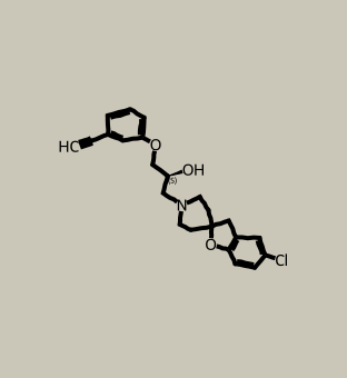 C#Cc1cccc(OC[C@@H](O)CN2CCC3(CC2)Cc2cc(Cl)ccc2O3)c1